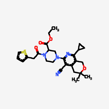 CCOC(=O)C1CN(c2nc(C3CC3)c3c(c2C#N)CC(C)(C)OC3)CCN1C(=O)Cc1cccs1